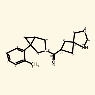 Cc1ccccc1C12CC1CN(C(=O)C1CC3(COCN3)C1)C2